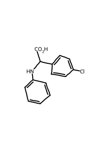 O=C(O)C(Nc1ccccc1)c1ccc(Cl)cc1